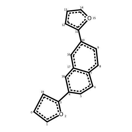 c1coc(-c2ccc3ccc(-c4ccco4)cc3c2)c1